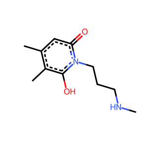 CNCCCn1c(O)c(C)c(C)cc1=O